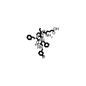 CC[C@H](C)[C@@]1(NC(=O)[C@@H](N)CCCC(=O)O)CCN([C@@H](CCc2ccccc2)C(=O)N[C@@H](Cc2ccccc2)[C@@H](O)CNCc2cccc(OC)c2)C1=O